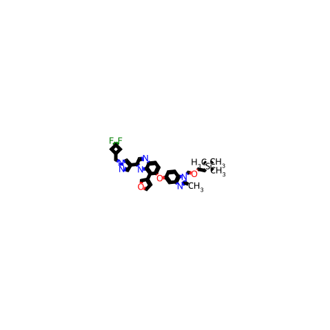 Cc1nc2cc(Oc3ccc4ncc(-c5cnn(CC6CC(F)(F)C6)c5)nc4c3C3=CCOC3)ccc2n1COCC[Si](C)(C)C